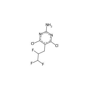 Nc1nc(Cl)c(CC(F)C(F)F)c(Cl)n1